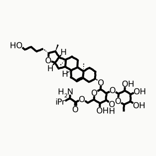 CC(C)C(N)C(=O)OCC1OC(O[C@H]2CC[C@@]3(C)C(=CC[C@@H]4C3CC[C@@]3(C)C4C[C@@H]4O[C@H](CCCCO)[C@@H](C)[C@@H]43)C2)C(OC2OC(C)C(O)C(O)C2O)C(O)C1O